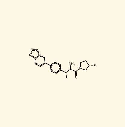 C[C@@H](c1ccc(-c2ccc3nncn3c2)cc1)C(N)C(=O)N1CC[C@H](F)C1